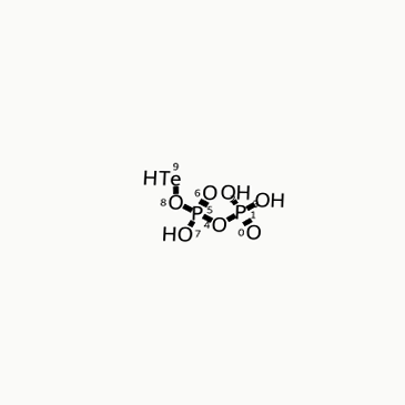 O=P(O)(O)OP(=O)(O)O[TeH]